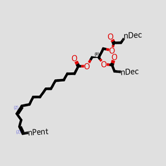 CCCCC/C=C\C/C=C\CCCCCCCCCC(=O)OC[C@@H](COC(=O)CCCCCCCCCCC)OC(=O)CCCCCCCCCCC